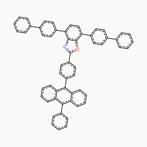 c1ccc(-c2ccc(-c3ccc(-c4ccc(-c5ccccc5)cc4)c4oc(-c5ccc(-c6c7ccccc7c(-c7ccccc7)c7ccccc67)cc5)nc34)cc2)cc1